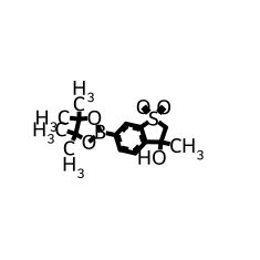 CC1(O)CS(=O)(=O)c2cc(B3OC(C)(C)C(C)(C)O3)ccc21